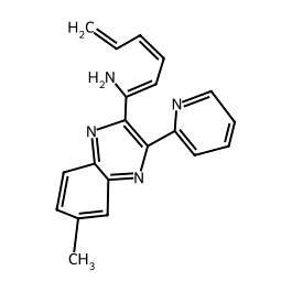 C=C/C=C\C=C(/N)c1nc2ccc(C)cc2nc1-c1ccccn1